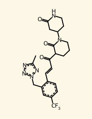 Cc1nnn(Cc2cc(C(F)(F)F)ccc2C=CC(=O)C2CCCN(C3CCNC(=O)C3)C2=O)n1